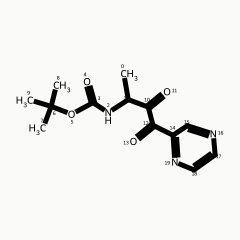 CC(NC(=O)OC(C)(C)C)C(=O)C(=O)c1cnccn1